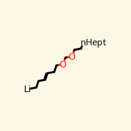 [Li][CH2]CC=CCCOCOCCCCCCCCC